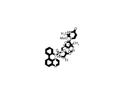 CC[C@H](NP(=O)(OC[C@H]1O[C@@H](N2C=CC(=O)NC2(C)OC)[C@](C)(F)[C@@H]1O)Oc1ccccc1-c1cccc2nccnc12)C(=O)OC(C)C